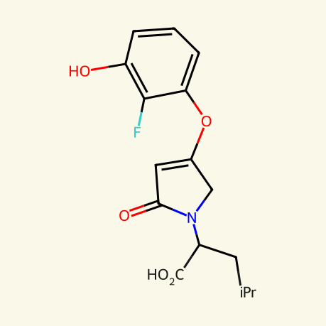 CC(C)CC(C(=O)O)N1CC(Oc2cccc(O)c2F)=CC1=O